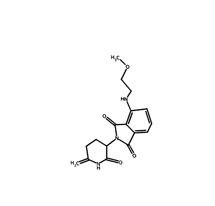 C=C1CCC(N2C(=O)c3cccc(NCCOC)c3C2=O)C(=O)N1